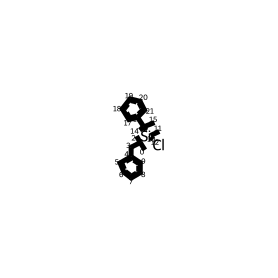 CC(C)(Cc1ccccc1)[Si](C)(Cl)C(C)(C)c1ccccc1